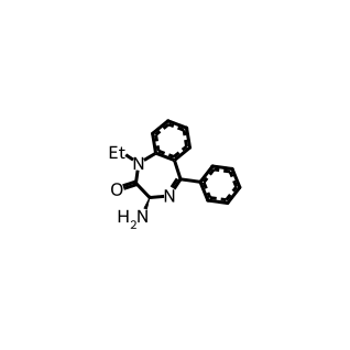 CCN1C(=O)[C@H](N)N=C(c2ccccc2)c2ccccc21